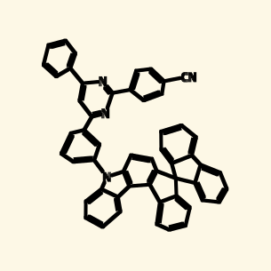 N#Cc1ccc(-c2nc(-c3ccccc3)cc(-c3cccc(-n4c5ccccc5c5c6c(ccc54)C4(c5ccccc5-c5ccccc54)c4ccccc4-6)c3)n2)cc1